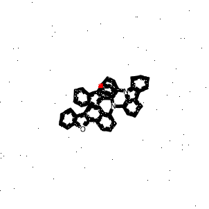 c1ccc(-n2c3ccccc3c3cccc(N(c4cccc5c4ccc4c6ccccc6oc54)c4cccc5c4sc4ccccc45)c32)cc1